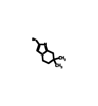 CC1(C)CCn2cc(Br)nc2C1